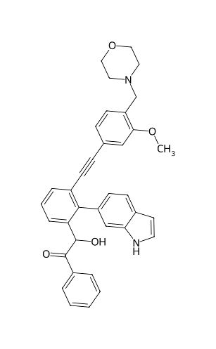 COc1cc(C#Cc2cccc(C(O)C(=O)c3ccccc3)c2-c2ccc3cc[nH]c3c2)ccc1CN1CCOCC1